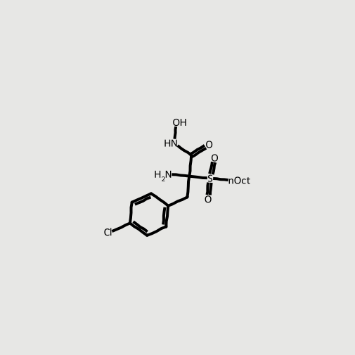 CCCCCCCCS(=O)(=O)C(N)(Cc1ccc(Cl)cc1)C(=O)NO